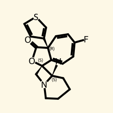 O=C1O[C@]2(CN3CCCC[C@H]32)C2=CC=C(F)C=C[C@@]12c1ccsc1